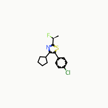 C[C@H](F)c1nc(C2CCCC2)c(-c2ccc(Cl)cc2)s1